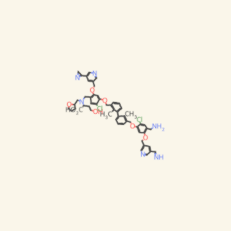 Cc1c(COc2cc(OCc3cncc(C=N)c3)c(CN)cc2Cl)cccc1-c1cccc(COc2cc(OCc3cncc(C4=NC4)c3)c(CN(CC3CCCO3)C(CCO)C(=O)O)cc2Cl)c1C